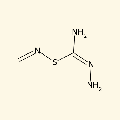 C=NS/C(N)=N\N